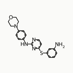 Nc1cccc(Sc2ccnc(Nc3ccc(N4CCOCC4)cc3)n2)c1